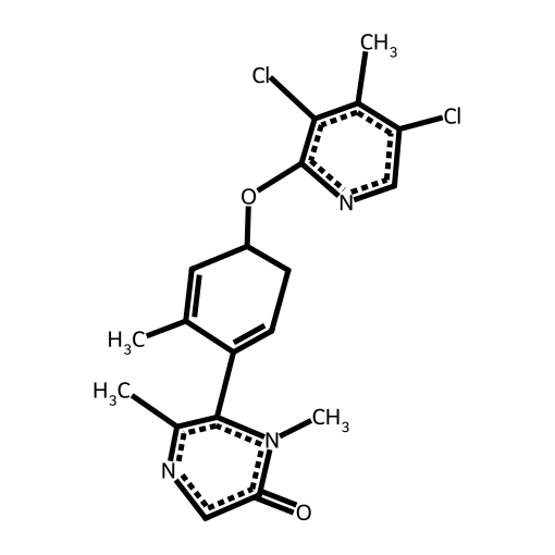 CC1=CC(Oc2ncc(Cl)c(C)c2Cl)CC=C1c1c(C)ncc(=O)n1C